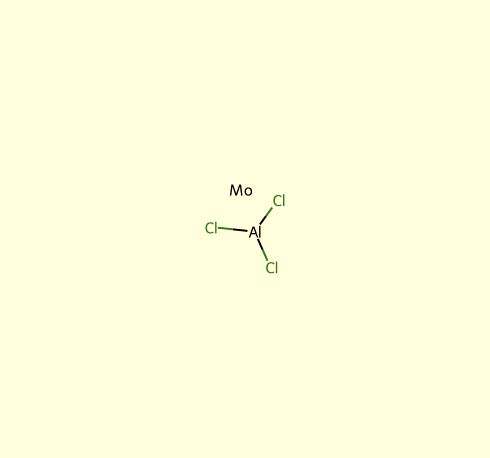 [Cl][Al]([Cl])[Cl].[Mo]